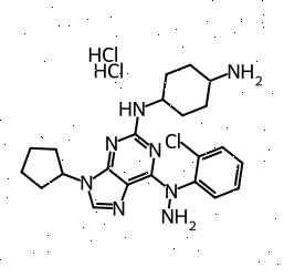 Cl.Cl.NC1CCC(Nc2nc(N(N)c3ccccc3Cl)c3ncn(C4CCCC4)c3n2)CC1